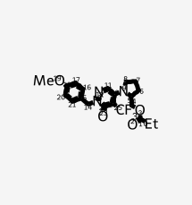 CCC(=O)OCC1CCCN1c1cnn(Cc2ccc(OC)cc2)c(=O)c1C(F)(F)F